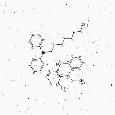 CCCCCCC[CH2][Bi]([c]1ccccc1)[c]1ccccc1.C[CH2][Bi]([c]1ccccc1C)[c]1ccccc1C